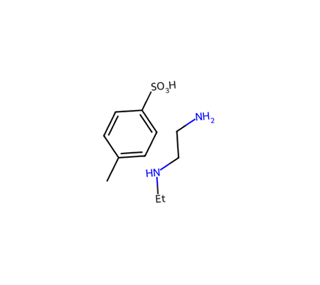 CCNCCN.Cc1ccc(S(=O)(=O)O)cc1